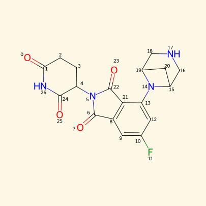 O=C1CCC(N2C(=O)c3cc(F)cc(N4C5CNCC4C5)c3C2=O)C(=O)N1